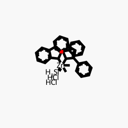 Cl.Cl.[CH3][Zr]([CH3])(=[SiH2])([CH]1C(c2ccccc2)=Cc2ccccc21)[CH]1C(c2ccccc2)=Cc2ccccc21